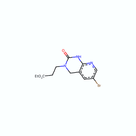 CCOC(=O)CCN1Cc2cc(Br)cnc2NC1=O